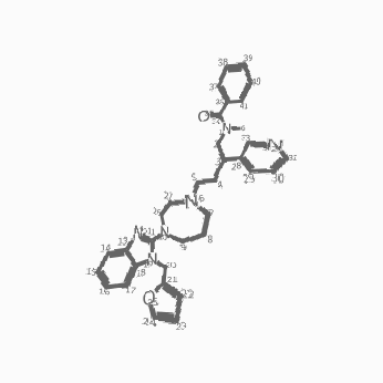 CN(CC(CCN1CCCN(c2nc3ccccc3n2Cc2ccco2)CC1)c1cccnc1)C(=O)c1ccccc1